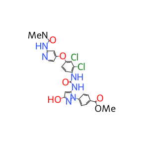 CNC(=O)Nc1cc(Oc2ccc(NC(=O)Nc3cc(O)nn3-c3ccc(C(=O)OC)cc3)c(Cl)c2Cl)ccn1